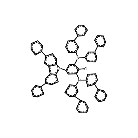 Clc1c(N(c2cccc(-c3ccccc3)c2)c2cccc(-c3ccccc3)c2)cc(-n2c3ccc(-c4ccccc4)cc3c3cc(-c4ccccc4)ccc32)cc1N(c1cccc(-c2ccccc2)c1)c1cccc(-c2ccccc2)c1